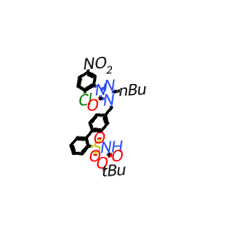 CCCCc1nn(-c2cc([N+](=O)[O-])ccc2Cl)c(=O)n1Cc1ccc(-c2ccccc2S(=O)(=O)NC(=O)OC(C)(C)C)cc1